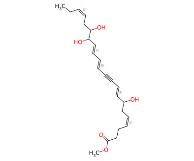 CC/C=C\CC(O)C(O)/C=C/C=C/C#C/C=C/C(O)C/C=C\CCC(=O)OC